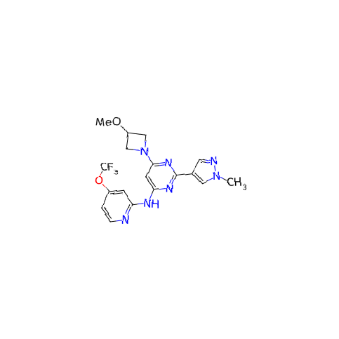 COC1CN(c2cc(Nc3cc(OC(F)(F)F)ccn3)nc(-c3cnn(C)c3)n2)C1